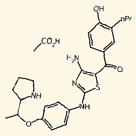 CC(=O)O.CCCc1cc(C(=O)c2sc(Nc3ccc(OC(C)C4CCCN4)cc3)nc2N)ccc1O